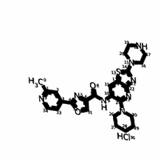 Cc1cc(-c2nc(C(=O)Nc3cc4sc(N5CCNCC5)nc4nc3N3CCCCC3)co2)ccn1.Cl